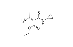 CCOC(=O)/C(C(=S)NC1CC1)=C(/C)N